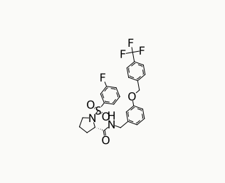 O=C(NCc1cccc(OCc2ccc(C(F)(F)F)cc2)c1)[C@@H]1CCCN1S(=O)(=O)c1cccc(F)c1